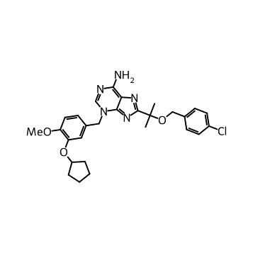 COc1ccc(Cn2cnc(N)c3nc(C(C)(C)OCc4ccc(Cl)cc4)nc2-3)cc1OC1CCCC1